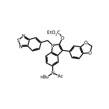 CCCCN(C(C)=O)c1ccc2c(c1)c(-c1ccc3c(c1)OCO3)c(OC(=O)OCC)n2Cc1ccc2nsnc2c1